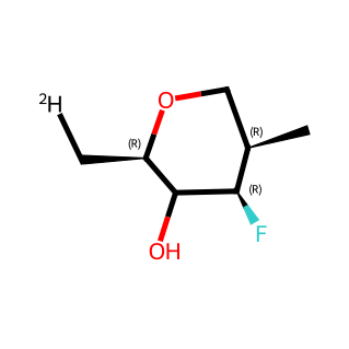 [2H]C[C@H]1OC[C@@H](C)[C@@H](F)C1O